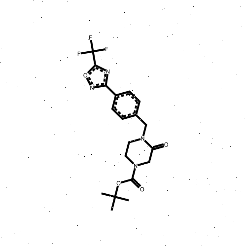 CC(C)(C)OC(=O)N1CCN(Cc2ccc(-c3noc(C(F)(F)F)n3)cc2)C(=O)C1